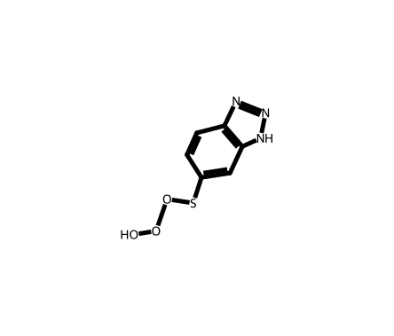 OOOSc1ccc2nn[nH]c2c1